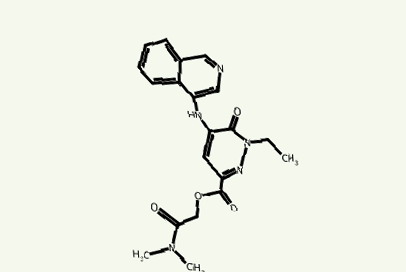 CCn1nc(C(=O)OCC(=O)N(C)C)cc(Nc2cncc3ccccc23)c1=O